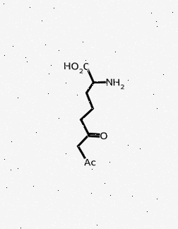 CC(=O)CC(=O)CCCC(N)C(=O)O